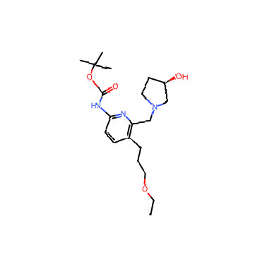 CCOCCCc1ccc(NC(=O)OC(C)(C)C)nc1CN1CC[C@@H](O)C1